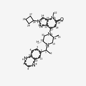 CC(c1ccc2nccnc2c1)N1C[C@H](C)N(c2cc(=O)n(C)c3cn(C4CCC4)nc23)C[C@H]1C